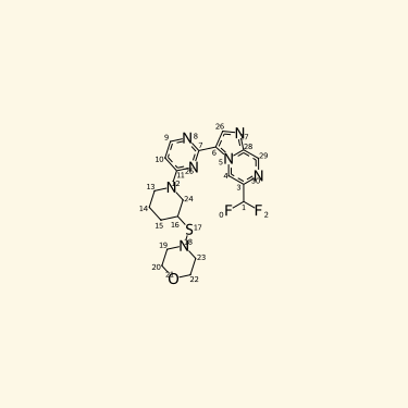 FC(F)c1cn2c(-c3nccc(N4CCCC(SN5CCOCC5)C4)n3)cnc2cn1